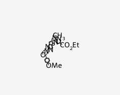 CCOC(=O)c1cnc(N(C)Cc2cc3nc(N4CCOC(c5ccc(OC)cc5)C4)ncc3s2)nc1